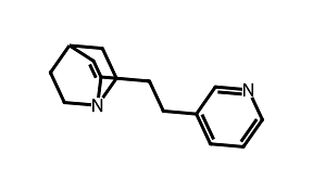 C1=C(CCc2cccnc2)N2CCC1CC2